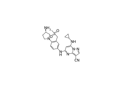 CS(=O)(=O)Cc1cc(Nc2cc(NC3CC3)n3ncc(C#N)c3n2)ccc1N1CC[C@@H](N)C1